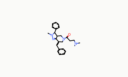 CN(C)CCC(=O)N1CC(=Cc2ccccc2)C2=NN(C)C(c3ccccc3)C2C1